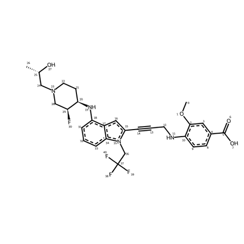 COc1cc(C(=O)O)ccc1NCC#Cc1cc2c(N[C@@H]3CCN(C[C@H](C)O)C[C@@H]3F)cccc2n1CC(F)(F)F